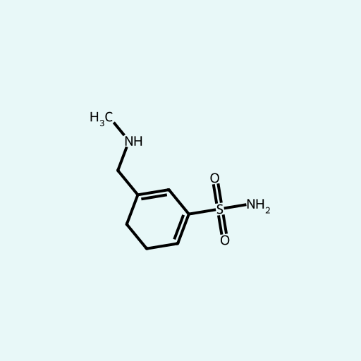 CNCC1=CC(S(N)(=O)=O)=CCC1